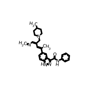 C=N/C=C(\C=C(/C)c1ccc2[nH]nc(C(=O)Nc3ccccc3)c2c1)CN1CCC(C)CC1